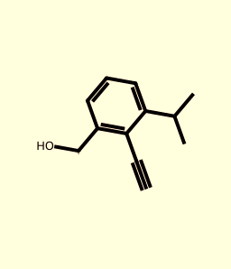 C#Cc1c([CH]O)cccc1C(C)C